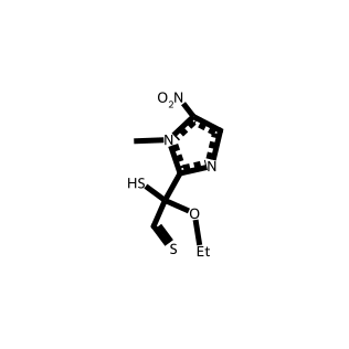 CCOC(S)(C=S)c1ncc([N+](=O)[O-])n1C